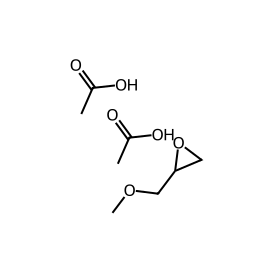 CC(=O)O.CC(=O)O.COCC1CO1